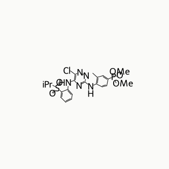 COP(=O)(OC)c1ccc(Nc2nnc(Cl)c(Nc3ccccc3S(=O)(=O)C(C)C)n2)c(C)c1